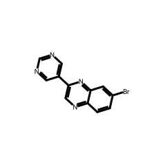 Brc1ccc2ncc(-c3cncnc3)nc2c1